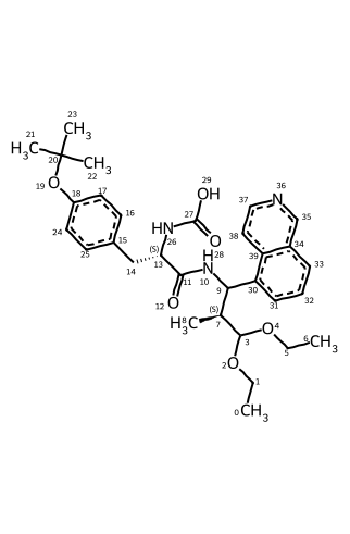 CCOC(OCC)[C@@H](C)C(NC(=O)[C@H](Cc1ccc(OC(C)(C)C)cc1)NC(=O)O)c1cccc2cnccc12